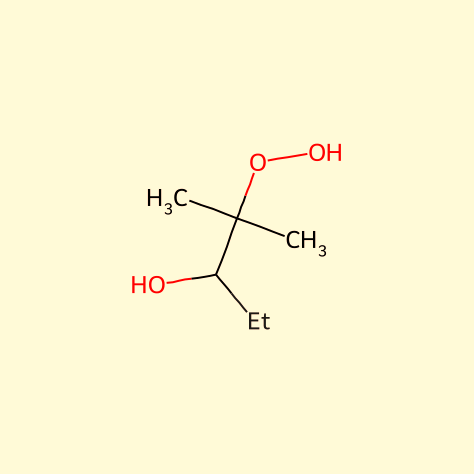 CCC(O)C(C)(C)OO